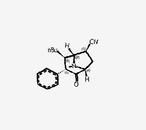 CCCC[C@H]1[C@@H]2[C@@H](C#N)C[C@H](C(=O)[C@@H]1c1ccccc1)N2C